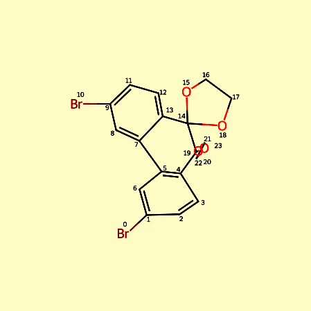 Brc1ccc2c(c1)-c1cc(Br)ccc1C1(OCCO1)C21OCCO1